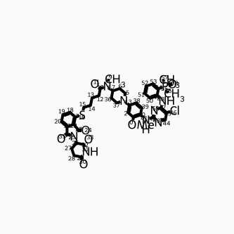 COc1cc(N2CCC(N(C)C(=O)CCCCSc3cccc4c3C(=O)N(C3CCC(=O)NC3=O)C4=O)CC2)ccc1Nc1ncc(Cl)c(Nc2ccccc2P(C)(C)=O)n1